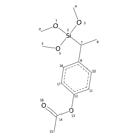 CO[Si](OC)(OC)C(C)c1ccc(OC(C)=O)cc1